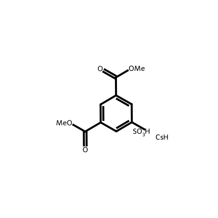 COC(=O)c1cc(C(=O)OC)cc(S(=O)(=O)O)c1.[CsH]